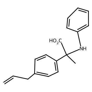 C=CCc1ccc(C(C)(Nc2ccccc2)C(=O)O)cc1